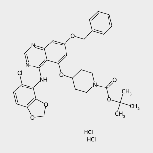 CC(C)(C)OC(=O)N1CCC(Oc2cc(OCc3ccccc3)cc3ncnc(Nc4c(Cl)ccc5c4OCO5)c23)CC1.Cl.Cl